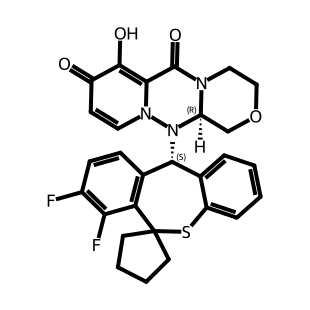 O=C1c2c(O)c(=O)ccn2N([C@@H]2c3ccccc3SC3(CCCC3)c3c2ccc(F)c3F)[C@@H]2COCCN12